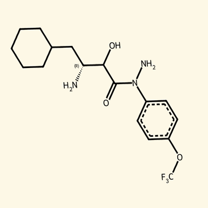 N[C@H](CC1CCCCC1)C(O)C(=O)N(N)c1ccc(OC(F)(F)F)cc1